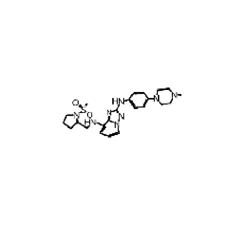 CN1CCN(c2ccc(Nc3nc4c(NCC5CCCN5S(C)(=O)=O)cccn4n3)cc2)CC1